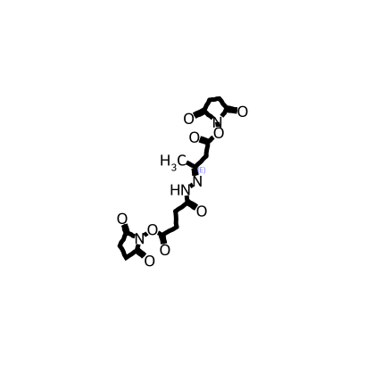 C/C(CC(=O)ON1C(=O)CCC1=O)=N\NC(=O)CCC(=O)ON1C(=O)CCC1=O